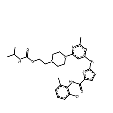 Cc1nc(Nc2ncc(C(=O)Nc3c(C)cccc3Cl)s2)cc(N2CCN(CCOC(=O)NC(C)C)CC2)n1